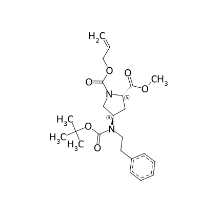 C=CCOC(=O)N1C[C@H](N(CCc2ccccc2)C(=O)OC(C)(C)C)C[C@H]1C(=O)OC